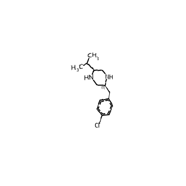 CC(C)C1CN[C@@H](Cc2ccc(Cl)cc2)CN1